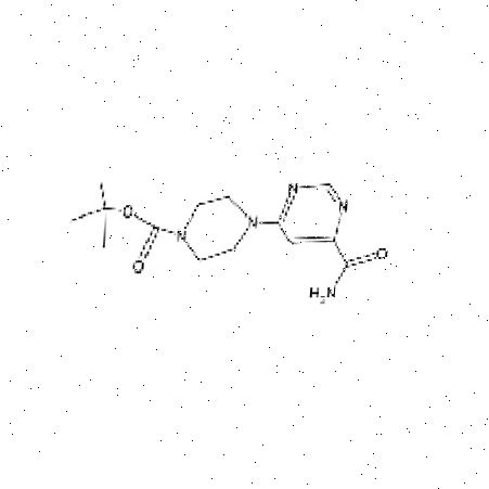 CC(C)(C)OC(=O)N1CCN(c2cc(C(N)=O)ncn2)CC1